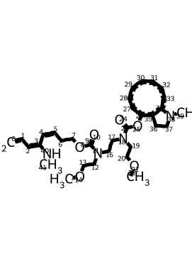 C=C/C=C(\C=C/CCOC(=O)N(CCOC)CCN(CCOC)C(=O)Oc1cccccccc2c1CCN2C)NC